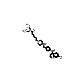 CCN(CC)C(=O)CCCCCN1CCC(NCc2ccc(Nc3ccnc4cc(Cl)ccc34)cc2)CC1